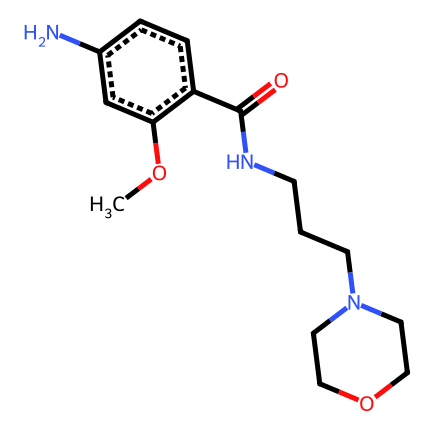 COc1cc(N)ccc1C(=O)NCCCN1CCOCC1